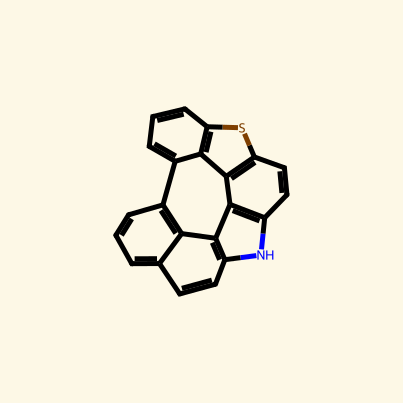 c1cc2c3c(c1)ccc1[nH]c4ccc5sc6cccc-2c6c5c4c13